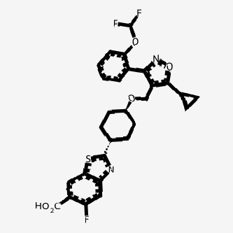 O=C(O)c1cc2sc([C@H]3CC[C@H](OCc4c(-c5ccccc5OC(F)F)noc4C4CC4)CC3)nc2cc1F